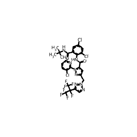 CC(C)(C)NC(=O)c1cc(Cl)cc(Cl)c1NC(=O)c1cc(Cn2ncc(C(F)(C(F)(F)F)C(F)(F)F)n2)nn1-c1ncccc1Cl